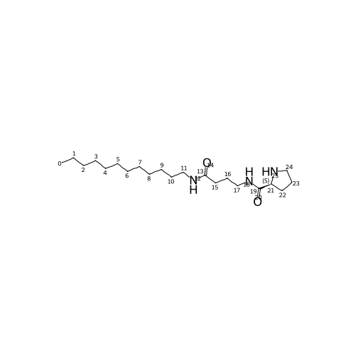 CCCCCCCCCCCCNC(=O)CCCNC(=O)[C@@H]1CCCN1